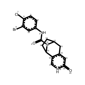 O=C(Nc1ccc(Cl)c(Br)c1)N1C2CCC1c1c[nH]c(=O)cc1C2